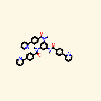 CN(C(=O)c1ccc(-c2ccccn2)cc1)c1cc(N(C)C(=O)c2ccc(-c3ccccn3)cc2)cc(N(C)C(=O)c2ccc(-c3ccccn3)cc2)c1